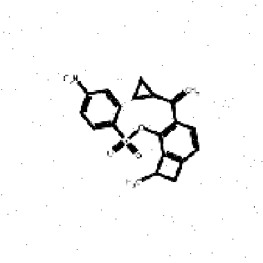 C=C(c1ccc2c(c1OS(=O)(=O)c1ccc([N+](=O)[O-])cc1)C(C)C2)C1CC1